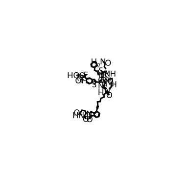 NC(=O)CC[C@H](NC(=O)[C@@H]1CC[C@@H]2CCN(C(=O)CCCCCC#Cc3cccc4c3CN(C3CCC(=O)NC3=O)C4=O)C[C@H](NC(=O)c3cc4cc(C(F)(F)OP(O)O)ccc4s3)C(=O)N21)c1ncc(Cc2ccccc2)s1